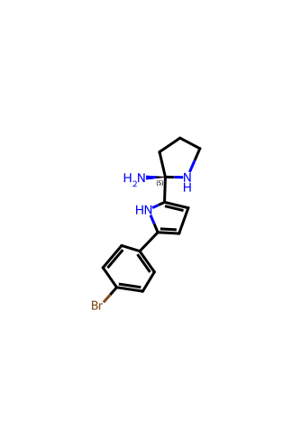 N[C@@]1(c2ccc(-c3ccc(Br)cc3)[nH]2)CCCN1